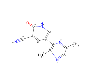 Cc1cnc(C)c(-c2c[nH]c(=O)c(C#N)c2)n1